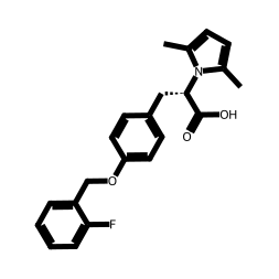 Cc1ccc(C)n1[C@@H](Cc1ccc(OCc2ccccc2F)cc1)C(=O)O